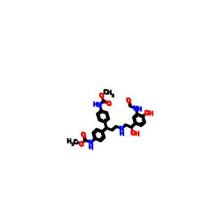 COC(=O)Nc1ccc(C(CCNC[C@H](O)c2ccc(O)c(NC=O)c2)c2ccc(NC(=O)OC)cc2)cc1